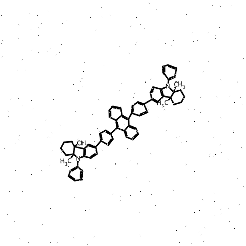 CC12CCCCC1(C)N(c1ccccc1)c1ccc(-c3ccc(-c4c5ccccc5c(-c5ccc(-c6ccc7c(c6)C6(C)CCCCC6(C)N7c6ccccc6)cc5)c5ccccc45)cc3)cc12